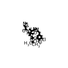 CC(C)(C)OC(=O)N1CC2(C1)CN(C(=O)c1cncs1)CC2c1nnc(Cc2ccc(Cl)c(Cl)c2)o1